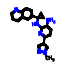 Cn1cc(-c2ccc(N)c(NC3(c4ccc5ncccc5c4)CC3)n2)cn1